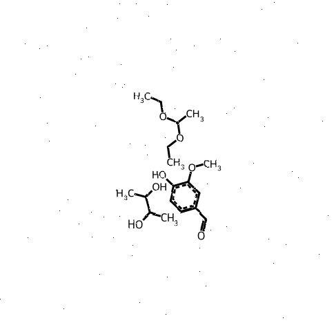 CC(O)C(C)O.CCOC(C)OCC.COc1cc(C=O)ccc1O